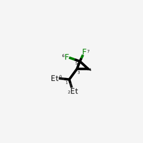 CCC(CC)C1CC1(F)F